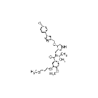 COCCCOc1cc(C(=O)N(CC2CNCC2OCc2cc(-c3ccc(Cl)cc3)no2)C(C)C)ccc1OC